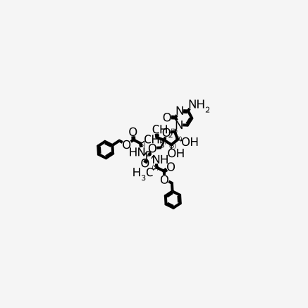 C=C[C@]1(COP(=O)(N[C@@H](C)C(=O)OCc2ccccc2)N[C@@H](C)C(=O)OCc2ccccc2)O[C@@H](n2ccc(N)nc2=O)[C@H](O)[C@@H]1O